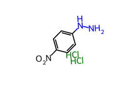 Cl.Cl.NNc1ccc([N+](=O)[O-])cc1